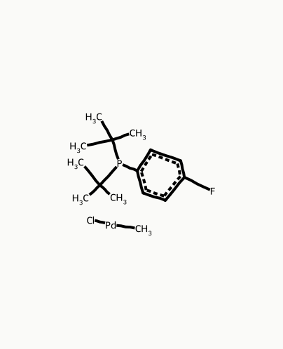 CC(C)(C)P(c1ccc(F)cc1)C(C)(C)C.[CH3][Pd][Cl]